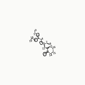 CCOC(COc1ccc2c(c1)C(=O)CCC2)OCC